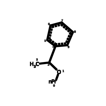 [CH2]CCOC(C)c1ccccc1